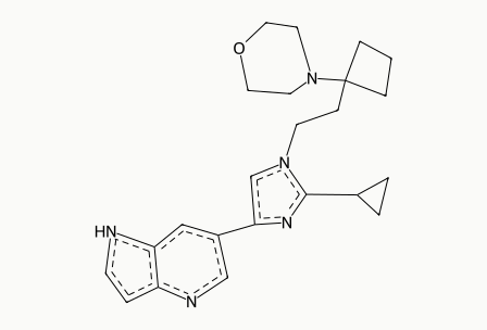 c1cc2ncc(-c3cn(CCC4(N5CCOCC5)CCC4)c(C4CC4)n3)cc2[nH]1